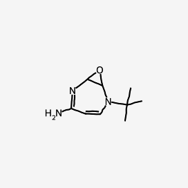 CC(C)(C)N1C=CC(N)=NC2OC21